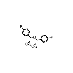 Fc1ccc(C(OC(c2ccc(F)cc2)[C@@H]2CO2)[C@@H]2CO2)cc1